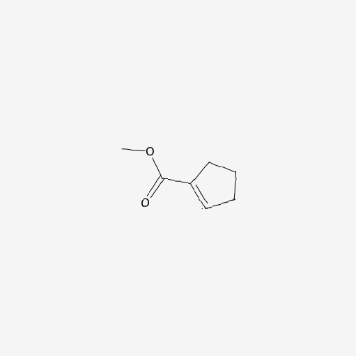 COC(=O)C1=[C]CCC1